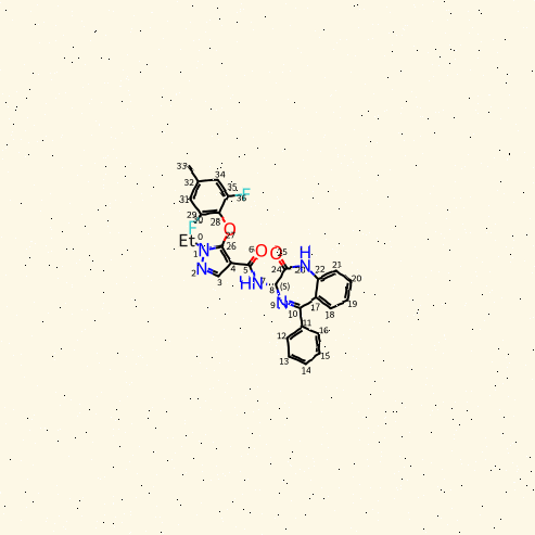 CCn1ncc(C(=O)N[C@H]2N=C(c3ccccc3)c3ccccc3NC2=O)c1Oc1c(F)cc(C)cc1F